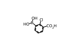 O=C(O)c1cccc(B(O)O)c1Cl